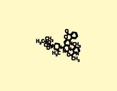 Cc1ccnc2c1N1c3nc(-c4ccccc4C=O)c(Cl)cc3C(N3CCN(C(=O)OC(C)(C)C)C[C@@H]3C)=NC1OC2C